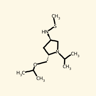 CSN[C@@H]1C[C@@H](COC(C)C)N(C(C)C)C1